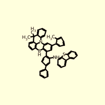 Cc1ccccc1-c1cc(-c2ccc(-c3ccccc3)cc2Nc2cccc3c2sc2ccccc23)c2c(c1)N1c3ccccc3C(C)(C)c3cccc(c31)B2